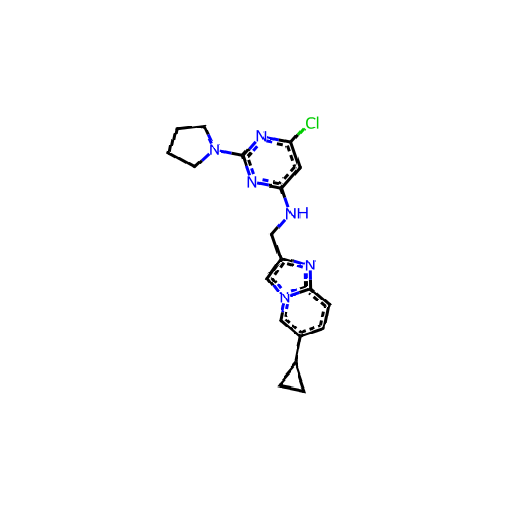 Clc1cc(NCc2cn3cc(C4CC4)ccc3n2)nc(N2CCCC2)n1